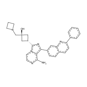 Nc1nccn2c1c(-c1ccc3ccc(-c4ccccc4)nc3c1)nc2[C@H]1C[C@@](O)(CN2CCC2)C1